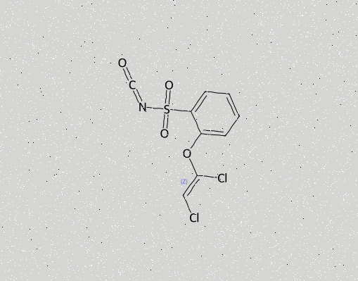 O=C=NS(=O)(=O)c1ccccc1O/C(Cl)=C/Cl